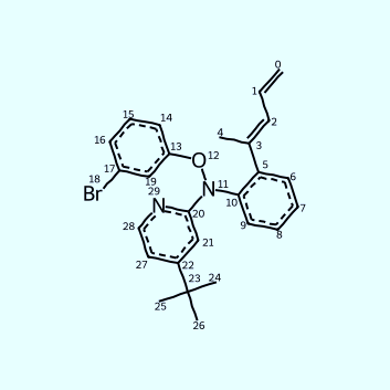 C=C/C=C(\C)c1ccccc1N(Oc1cccc(Br)c1)c1cc(C(C)(C)C)ccn1